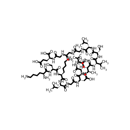 CC(C)C[C@H](NC(=O)[C@H](CCCCN)NC(=O)[C@H](CO)NC(=O)[C@@H](N)CCCCN)C(=O)NCC(=O)N[C@@H](CC(=O)O)C(=O)N[C@@H](CC(C)C)C(=O)N[C@H](C(=O)N[C@H](C(=O)N[C@H](C(=O)N[C@@H](CO)C(=O)N[C@@H](CC(C)C)C(=O)NCC(=O)NCC(=O)NCC(=O)N[C@@H](CCC(=O)O)C(=O)O)C(C)C)[C@@H](C)O)C(C)C